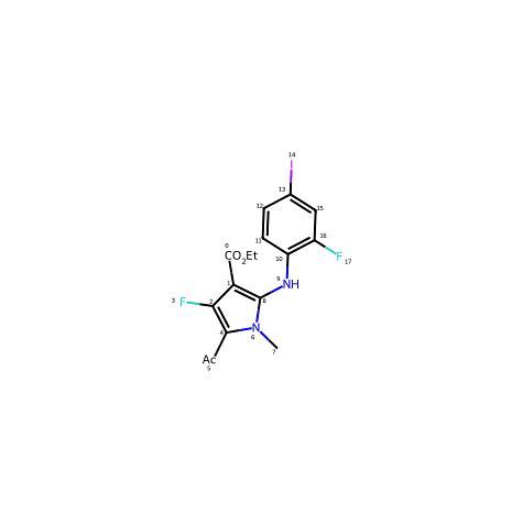 CCOC(=O)c1c(F)c(C(C)=O)n(C)c1Nc1ccc(I)cc1F